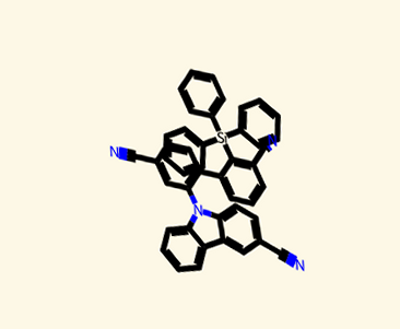 N#Cc1ccc(-c2cccc(C#N)c2[Si](c2ccccc2)(c2ccccc2)c2ccccc2)c(-n2c3ccccc3c3cc(C#N)ccc32)c1